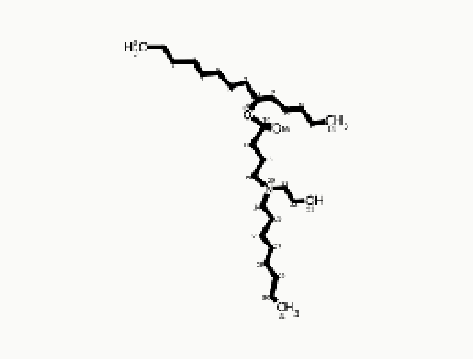 CCCCCCCCC(CCCCC)OC(=O)CCCN(CCO)CCCCCCCC